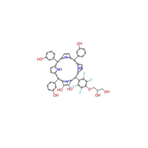 OCC(O)COc1c(F)c(F)c(-c2c3nc(c(-c4cccc(O)c4)c4ccc([nH]4)c(-c4cccc(O)c4)c4nc(c(-c5cccc(O)c5)c5ccc2[nH]5)C=C4)C(O)=C3O)c(F)c1F